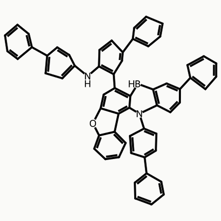 B1c2cc(-c3ccccc3)ccc2N(c2ccc(-c3ccccc3)cc2)c2c1c(-c1cc(-c3ccccc3)ccc1Nc1ccc(-c3ccccc3)cc1)cc1oc3ccccc3c21